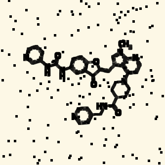 Cn1cc(C=C2Oc3ccc(NC(=O)Nc4cccnc4)cc3C2=O)c2c(N3CCC(C(=O)NCc4ccncc4)CC3)ccnc21